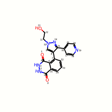 O=c1[nH][nH]c(=O)c2c(-c3cn(CCO)nc3-c3ccncc3)cccc12